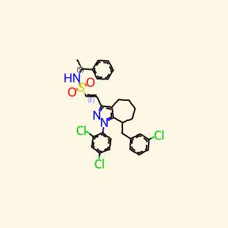 C[C@H](NS(=O)(=O)/C=C/c1nn(-c2ccc(Cl)cc2Cl)c2c1CCCCC2Cc1cccc(Cl)c1)c1ccccc1